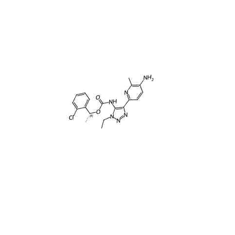 CCn1nnc(-c2ccc(N)c(C)n2)c1NC(=O)O[C@H](C)c1ccccc1Cl